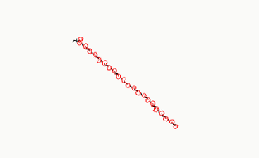 CCC(C)(C)C(=O)OCCOCCOCCOCCOCCOCCOCCOCCOCCOCCOCCOCCOCCOCCOCCOCCOCCOCCOCCOCCOC